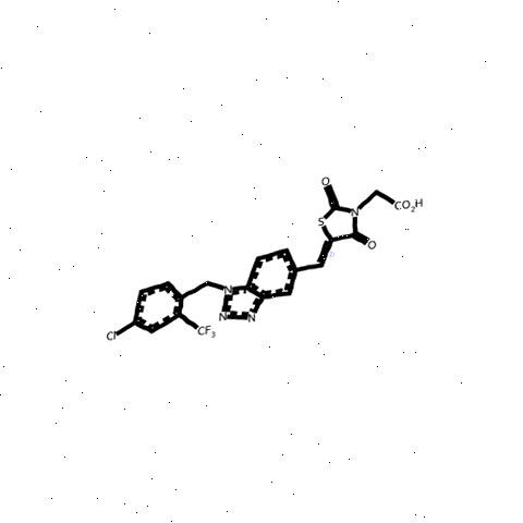 O=C(O)CN1C(=O)S/C(=C\c2ccc3c(c2)nnn3Cc2ccc(Cl)cc2C(F)(F)F)C1=O